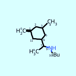 C=C1CC(C)CC(C(C)NC(C)CC)C1